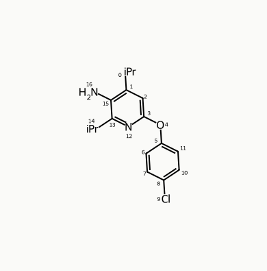 CC(C)c1cc(Oc2ccc(Cl)cc2)nc(C(C)C)c1N